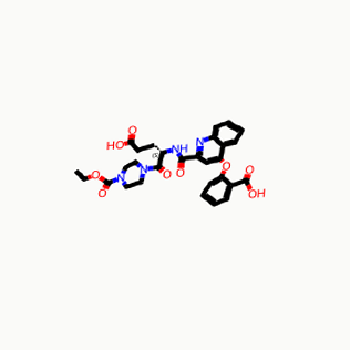 CCOC(=O)N1CCN(C(=O)[C@H](CCC(=O)O)NC(=O)c2cc(Oc3ccccc3C(=O)O)c3ccccc3n2)CC1